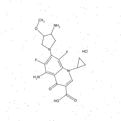 COC1CN(c2c(F)c(N)c3c(=O)c(C(=O)O)cn(C4CC4)c3c2F)CC1N.Cl